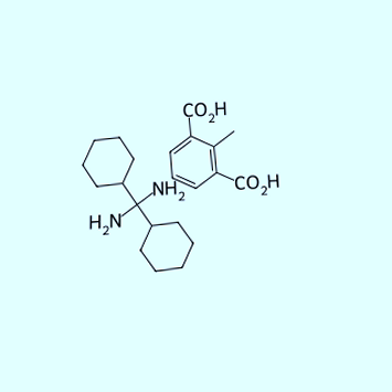 Cc1c(C(=O)O)cccc1C(=O)O.NC(N)(C1CCCCC1)C1CCCCC1